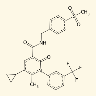 Cc1c(C2CC2)cc(C(=O)NCc2ccc(S(C)(=O)=O)cc2)c(=O)n1-c1cccc(C(F)(F)F)c1